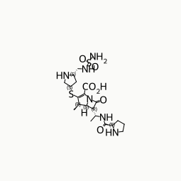 CC(NC(=O)[C@H]1CCCN1)[C@H]1C(=O)N2C(C(=O)O)=C(S[C@@H]3CN[C@H](CNS(N)(=O)=O)C3)[C@H](C)[C@H]12